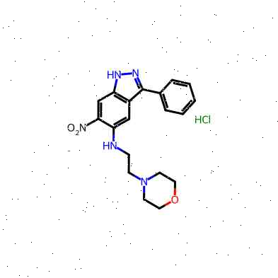 Cl.O=[N+]([O-])c1cc2[nH]nc(-c3ccccc3)c2cc1NCCN1CCOCC1